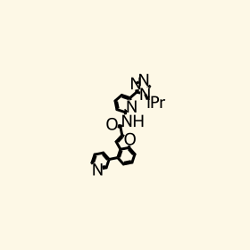 CC(C)n1cnnc1-c1cccc(NC(=O)c2cc3c(-c4cccnc4)cccc3o2)n1